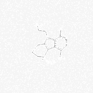 CCOC(=O)[C@@H]1CCCc2c1c1c(OC)ccc(Cl)c1n2CCOC